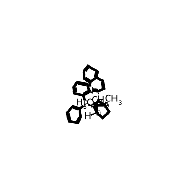 CC1(C)[C@@H]2CC[C@@]1(C)[C@@H](c1ccc3ccccc3n1)[C@@H]2P(c1ccccc1)c1ccccc1